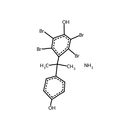 CC(C)(c1ccc(O)cc1)c1c(Br)c(Br)c(O)c(Br)c1Br.N